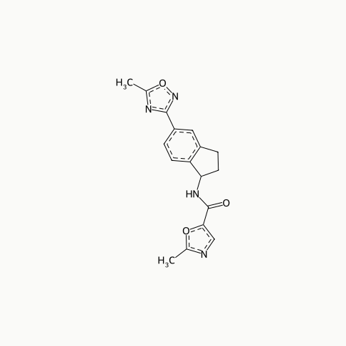 Cc1nc(-c2ccc3c(c2)CCC3NC(=O)c2cnc(C)o2)no1